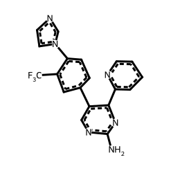 Nc1ncc(-c2ccc(-n3ccnc3)c(C(F)(F)F)c2)c(-c2ccccn2)n1